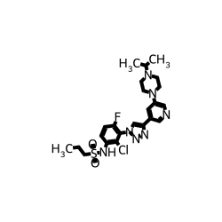 CCCS(=O)(=O)Nc1ccc(F)c(-n2cc(-c3cncc(N4CCN(C(C)C)CC4)c3)nn2)c1Cl